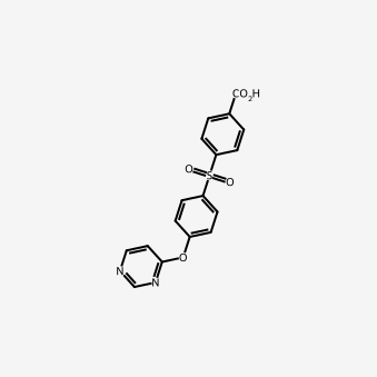 O=C(O)c1ccc(S(=O)(=O)c2ccc(Oc3ccncn3)cc2)cc1